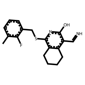 Cc1cccc(CSc2nc(O)c(C=N)c3c2CCCC3)c1F